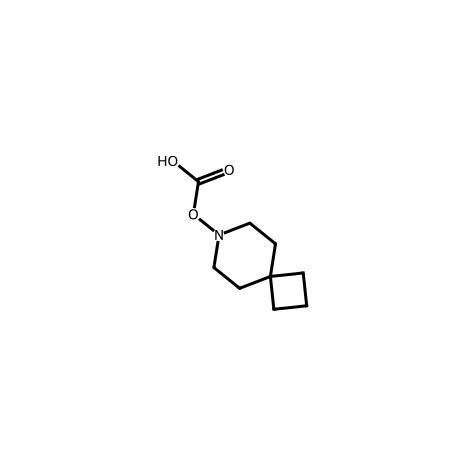 O=C(O)ON1CCC2(CCC2)CC1